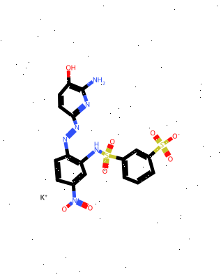 Nc1nc(N=Nc2ccc([N+](=O)[O-])cc2NS(=O)(=O)c2cccc(S(=O)(=O)[O-])c2)ccc1O.[K+]